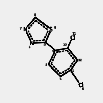 Clc1ccc(-c2nncs2)c(Cl)c1